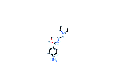 CCN(CC)CC/N=C(\OC)c1ccc(N)cc1